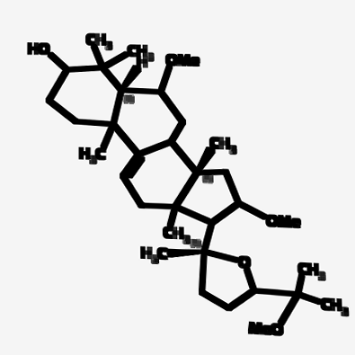 COC1C[C@@]2(C)C3CC(OC)[C@@H]4C(C)(CCC(O)C4(C)C)C3=CCC2(C)C1[C@@]1(C)CCC(C(C)(C)OC)O1